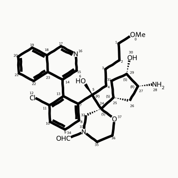 COCCCC[C@@](O)(c1cccc(Cl)c1-c1cncc2ccccc12)[C@]1([C@H]2C[C@@H](N)[C@@H](O)C2)CN(C=O)CCO1